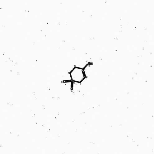 CC(C)(C)C1=CCS(=O)(=O)CC1